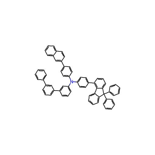 c1ccc(-c2cccc(-c3cccc(N(c4ccc(-c5ccc6ccccc6c5)cc4)c4ccc(-c5cccc6c5-c5ccccc5C6(c5ccccc5)c5ccccc5)cc4)c3)c2)cc1